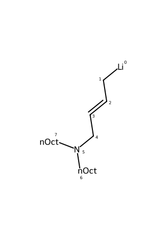 [Li][CH2]/C=C/CN(CCCCCCCC)CCCCCCCC